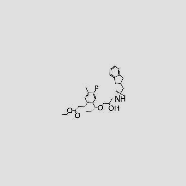 CCOC(=O)CCc1cc(C)c(F)cc1[C@@H](CC)OC[C@H](O)CNC(C)(C)CC1Cc2ccccc2C1